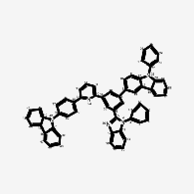 c1ccc(-n2c(-c3cc(-c4ccc5c(c4)c4ccccc4n5-c4ccccc4)cc(-c4cccc(-c5ccc(-n6c7ccccc7c7ccccc76)cc5)n4)c3)nc3ccccc32)cc1